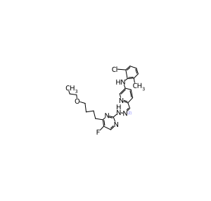 CCCOCCCCc1nc(N/N=C\c2ccc(Nc3c(C)cccc3Cl)cn2)ncc1F